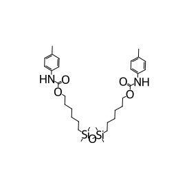 Cc1ccc(NC(=O)OCCCCCC[Si](C)(C)O[Si](C)(C)CCCCCCOC(=O)Nc2ccc(C)cc2)cc1